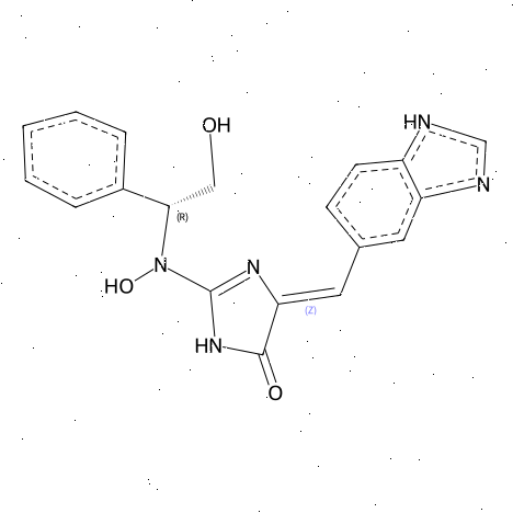 O=C1NC(N(O)[C@@H](CO)c2ccccc2)=N/C1=C\c1ccc2[nH]cnc2c1